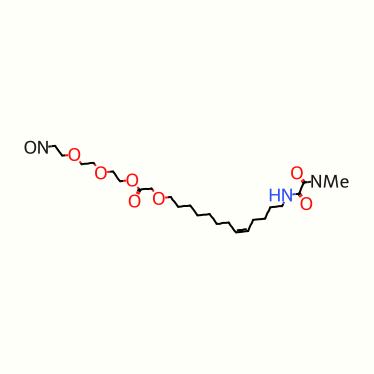 CNC(=O)C(=O)NCCCC/C=C\CCCCCCCOCC(=O)OCCOCCOCCN=O